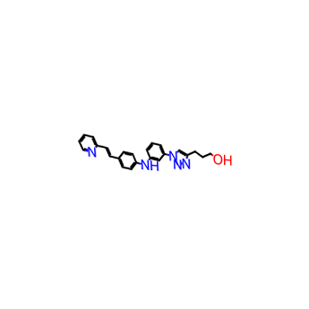 OCCCc1cn(-c2cccc(Nc3ccc(C=Cc4ccccn4)cc3)c2)nn1